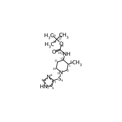 CC1CN(Sc2c[nH]cn2)CCC1NC(=O)OC(C)(C)C